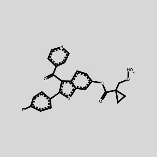 O=C(c1ccncc1)c1c(-c2ccc(F)cc2)sc2cc(OC(=O)C3(CO[N+](=O)[O-])CC3)ccc12